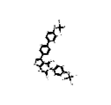 O=c1[nH]c2scc(-c3ccc(-c4ccc(OC(F)(F)F)cc4)cc3)c2c(=O)n1-c1ccc(OC(F)(F)F)cc1